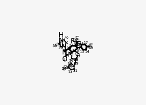 C[C@@H]1CN(c2nc(=O)n3c4c(c(-c5ccc(F)cc5)c(C(F)(F)F)cc24)SCC(CN2CC[C@H](F)C2)C3)C[C@H](C)N1